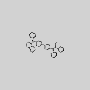 C/C=C(\c1ccccc1C)N(c1ccccc1)c1ccc(-c2ccc(N(c3ccccc3)c3cccc4ccccc34)cc2)cc1